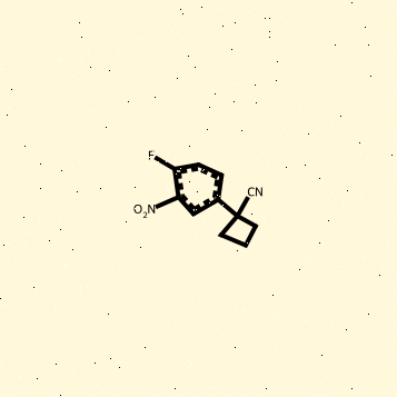 N#CC1(c2ccc(F)c([N+](=O)[O-])c2)CCC1